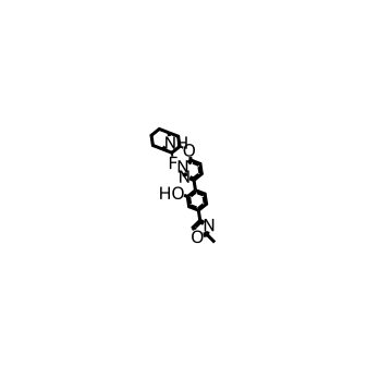 Cc1nc(-c2ccc(-c3ccc(O[C@@H]4CC5CCCC(N5)[C@@H]4F)nn3)c(O)c2)co1